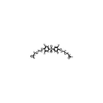 Cc1cc(S(=O)(=O)c2cc(C)c(OCCOCC3CO3)c(C)c2)cc(C)c1OCCOCC1CO1